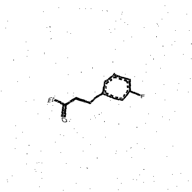 CCC(=O)CCc1cccc(F)c1